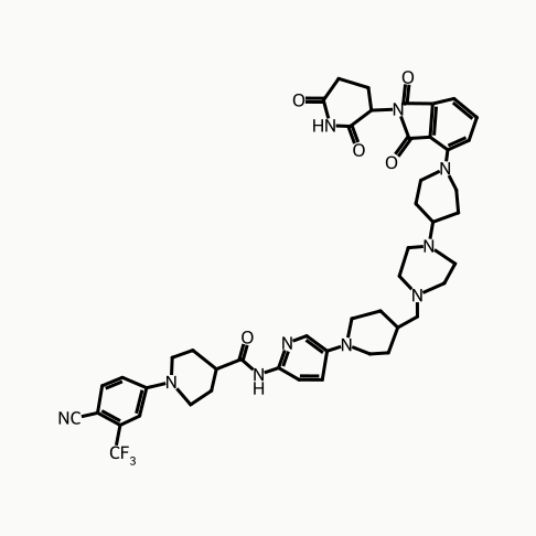 N#Cc1ccc(N2CCC(C(=O)Nc3ccc(N4CCC(CN5CCN(C6CCN(c7cccc8c7C(=O)N(C7CCC(=O)NC7=O)C8=O)CC6)CC5)CC4)cn3)CC2)cc1C(F)(F)F